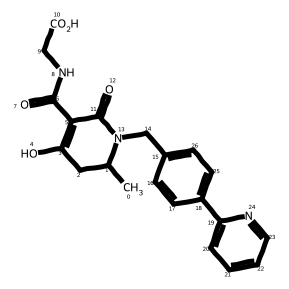 CC1CC(O)=C(C(=O)NCC(=O)O)C(=O)N1Cc1ccc(-c2ccccn2)cc1